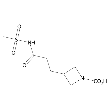 CS(=O)(=O)NC(=O)CCC1CN(C(=O)O)C1